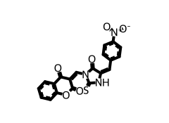 O=C1Oc2ccccc2C(=O)/C1=C/N1C(=O)/C(=C\c2ccc([N+](=O)[O-])cc2)NC1=S